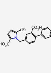 CCCc1ccc(C(=O)O)n1Cc1ccc(-c2ccccc2)c(C(=O)O)c1